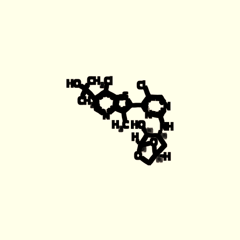 Cc1c(-c2nc(N[C@@H]3C[C@H]4CO[C@H](O4)[C@H]3O)ncc2Cl)sc2c(Cl)c(C(C)(C)O)cnc12